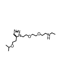 CCNCCOCCOCCn1nncc1CCOC(C)C